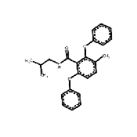 Cc1ccc(Oc2ccccc2)c(C(=O)PCC(C)C)c1Oc1ccccc1